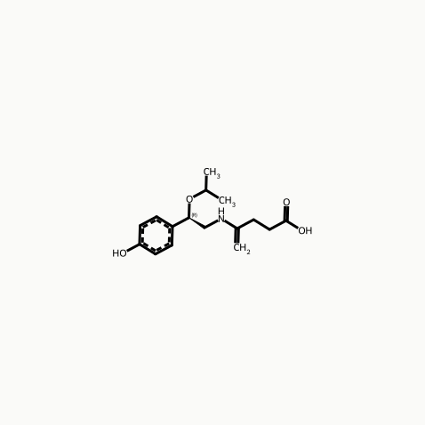 C=C(CCC(=O)O)NC[C@H](OC(C)C)c1ccc(O)cc1